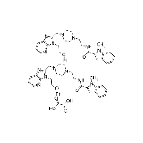 CCOCCn1c(CN2CCN(CCNC(=O)c3cc4ccccc4n3C)CC2)nc2cccnc21.CCOCCn1c(CN2CCN(CCNC(=O)c3cc4ccccc4n3C)CC2)nc2cccnc21.O=C(O)C(=O)O